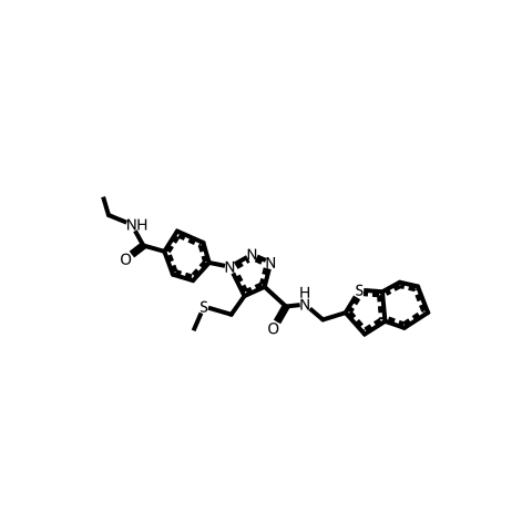 CCNC(=O)c1ccc(-n2nnc(C(=O)NCc3cc4ccccc4s3)c2CSC)cc1